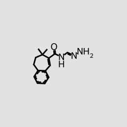 CC1(C)CCc2ccccc2C=C1C(=O)NC=NN